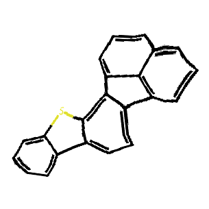 c1cc2c3c(cccc3c1)-c1c-2ccc2c1sc1ccccc12